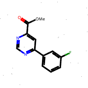 COC(=O)c1cc(-c2cccc(F)c2)ncn1